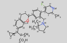 Cc1cc(-c2ccc(C3CCc4ccc([C@H](C5CC5)[C@H](C)C(=O)O)cc4O3)cc2CN2CCCC2(C)C)c(F)cn1